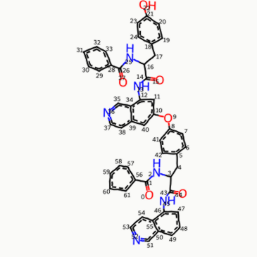 O=C(NC(Cc1ccc(Oc2cc(NC(=O)C(Cc3ccc(O)cc3)NC(=O)c3ccccc3)c3cnccc3c2)cc1)C(=O)Nc1cccc2cnccc12)c1ccccc1